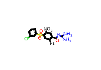 CCc1cc(S(=O)(=O)c2cccc(Cl)c2)c([N+](=O)[O-])cc1C(=O)N=C(N)N